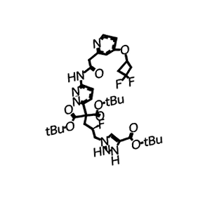 CC(C)(C)OC(=O)C1=CN(C[C@H](F)CC(C(=O)OC(C)(C)C)(C(=O)OC(C)(C)C)c2ccc(NC(=O)Cc3cc(OC4CC(F)(F)C4)ccn3)nn2)NN1